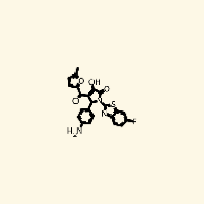 Cc1ccc(C(=O)C2=C(O)C(=O)N(c3nc4ccc(F)cc4s3)C2c2ccc(N)cc2)o1